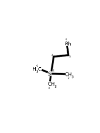 C[Si](C)(C)C[CH2][Rh]